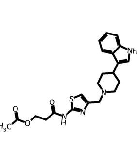 CC(=O)OCCC(=O)Nc1nc(CN2CCC(c3c[nH]c4ccccc34)CC2)cs1